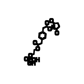 O=C(Cc1ccc(CC(=O)ON2C(=O)CCC2=O)cc1)OCCOP(=O)(O)O